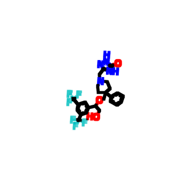 O=c1[nH]nc(CN2CCC(COC(CO)c3cc(C(F)(F)F)cc(C(F)(F)F)c3)(c3ccccc3)CC2)[nH]1